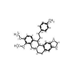 COc1ccc2c(c1OC)CN1CCc3cc4c(cc3C1C2CCc1ccc(C)cc1)OCO4